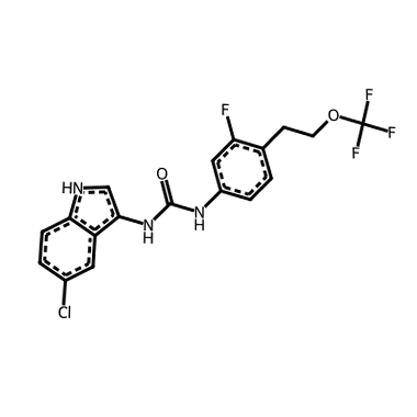 O=C(Nc1ccc(CCOC(F)(F)F)c(F)c1)Nc1c[nH]c2ccc(Cl)cc12